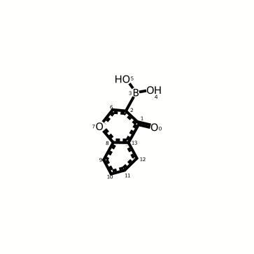 O=c1c(B(O)O)coc2ccccc12